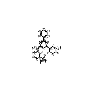 FC(F)(F)c1ccnc(Nc2cc(C3CCCNC3)nc(-c3ccccc3)n2)c1